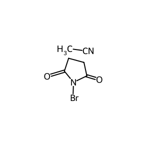 CC#N.O=C1CCC(=O)N1Br